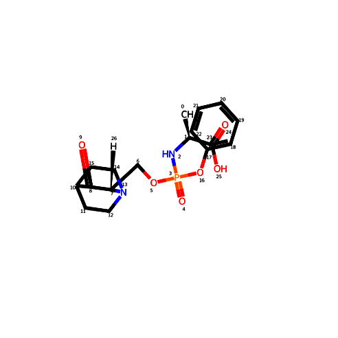 C[C@H](NP(=O)(OC[C@H]1C(=O)C2CCN1CC2)Oc1ccccc1)C(=O)O